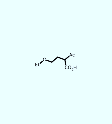 CCOCCC(C(C)=O)C(=O)O